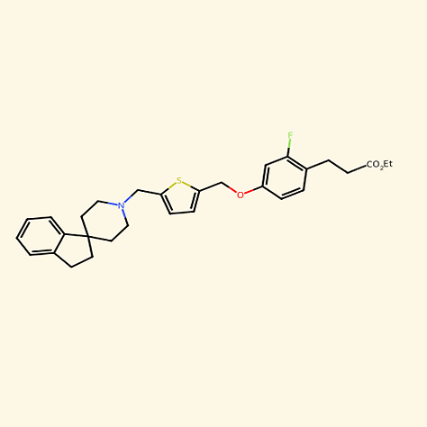 CCOC(=O)CCc1ccc(OCc2ccc(CN3CCC4(CCc5ccccc54)CC3)s2)cc1F